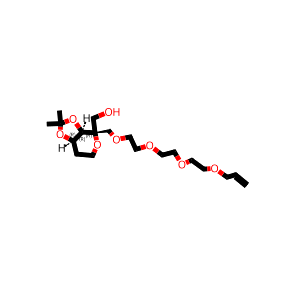 C=CCOCCOCCOCCOC[C@@]1(CO)OCC[C@H]2OC(C)(C)O[C@H]21